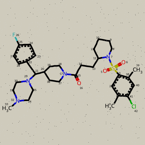 Cc1cc(S(=O)(=O)N2CCCCC2CCC(=O)N2CCC(C(c3ccc(F)cc3)N3CCN(C)CC3)CC2)c(C)cc1Cl